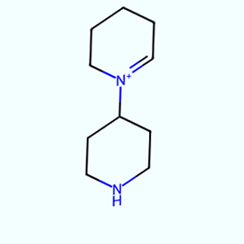 C1=[N+](C2CCNCC2)CCCC1